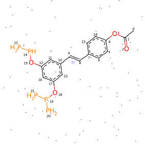 CC(=O)Oc1ccc(/C=C/c2cc(OPP)cc(OP(P)P)c2)cc1